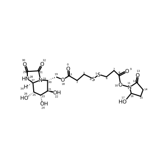 O=C(CCSSCCC(=O)ON1C(=O)CCC1O)OC[C@@H]1[C@@H](O)[C@H](O)[C@H](O)[C@H]2NC(=O)C(=O)N12